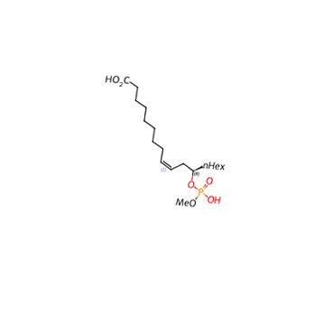 CCCCCC[C@H](C/C=C\CCCCCCCC(=O)O)OP(=O)(O)OC